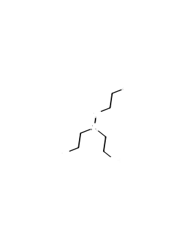 OCCON(CCO)CCO